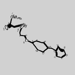 COC(=O)NCCOC1CCC(c2ccccc2)CC1